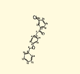 O=C(C[n+]1ccc(OCc2ccccc2)cc1)c1cccc(Cl)c1